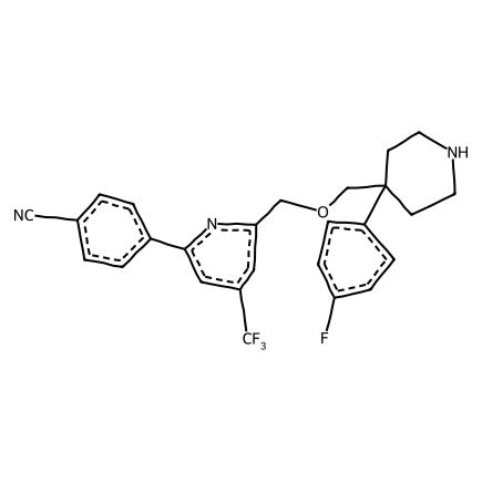 N#Cc1ccc(-c2cc(C(F)(F)F)cc(COCC3(c4ccc(F)cc4)CCNCC3)n2)cc1